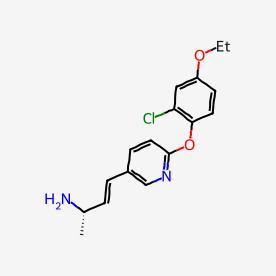 CCOc1ccc(Oc2ccc(/C=C/[C@H](C)N)cn2)c(Cl)c1